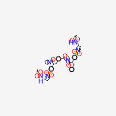 C=CS(=O)(=O)NC[C@H]1CCN(S(=O)(=O)c2ccc([C@@H](Cc3ccccc3)C(=O)N3CCOC(c4cccc(CC(C(=O)N5CCCC5)c5ccc(S(=O)(=O)N6CCC[C@@H]6CNS(=O)(=O)C=C)cc5)c4)C3)cc2)C1